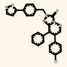 O=c1n(Cc2ccc(-c3ccno3)cc2)nc2c(-c3ccccc3)c(-c3ccc(Cl)cc3)cnn12